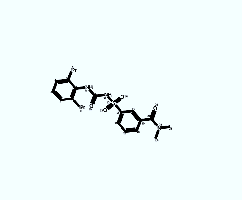 CC(C)c1cccc(C(C)C)c1NC(=O)NS(=O)(=O)c1cccc(C(=O)N(C)C)c1